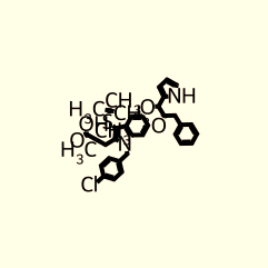 CC(C)(C)Sc1c(CC(C)(C)C(=O)O)n(Cc2ccc(Cl)cc2)c2ccc(OC(C(=O)Cc3ccccc3)c3ccc[nH]3)cc12